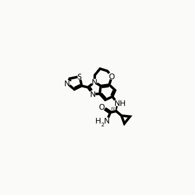 NC(=O)[C@@H](Nc1cc2c3c(c1)nc(-c1cncs1)n3CCCO2)C1CC1